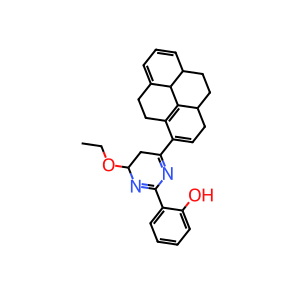 CCOC1CC(C2=CCC3CCC4C=CC=C5CCC2=C3C54)=NC(c2ccccc2O)=N1